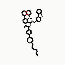 C=C/C=C\C=C/CC1=CC=C(c2ccc(/C(N=C)=N/C(=N\Cc3ccc4oc5ccccc5c4c3)c3cccc(-c4ccccc4)c3N(C)c3ccccc3)cc2)C=CC1